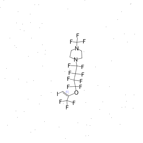 FC(F)(F)/C(=C\I)OC(F)(F)C(F)(F)C(F)(F)C(F)(F)N1CCN(C(F)(F)F)CC1